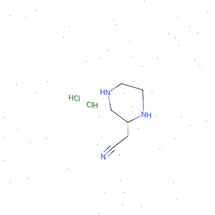 Cl.Cl.N#CC[C@@H]1CNCCN1